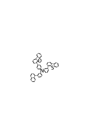 c1cc(-c2cccc3ccccc23)cc(N(c2ccc(-c3cccc4c3oc3ccccc34)cc2)c2cccc(-c3cccc4c3sc3ccccc34)c2)c1